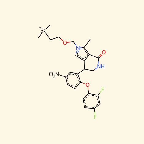 Cc1c2c(cn1COCC[Si](C)(C)C)C(c1cc([N+](=O)[O-])ccc1Oc1ccc(F)cc1F)CNC2=O